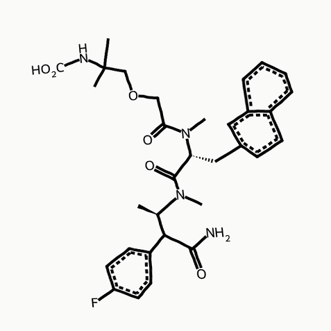 C[C@H](C(C(N)=O)c1ccc(F)cc1)N(C)C(=O)[C@@H](Cc1ccc2ccccc2c1)N(C)C(=O)COCC(C)(C)NC(=O)O